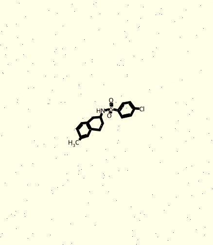 Cc1[c]cc2c(c1)CCC(NS(=O)(=O)c1ccc(Cl)cc1)C2